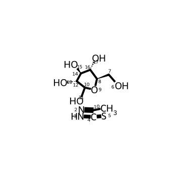 CC#N.N=C=S.OC[C@H]1OC(O)[C@H](O)[C@@H](O)[C@@H]1O